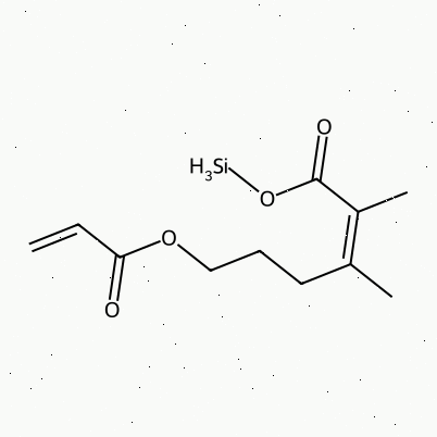 C=CC(=O)OCCCC(C)=C(C)C(=O)O[SiH3]